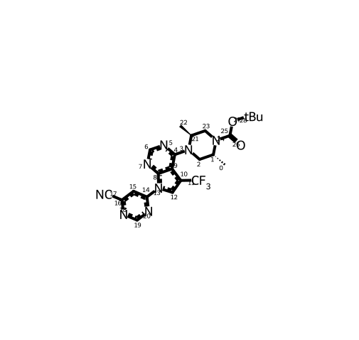 C[C@@H]1CN(c2ncnc3c2c(C(F)(F)F)cn3-c2cc(C#N)ncn2)[C@@H](C)CN1C(=O)OC(C)(C)C